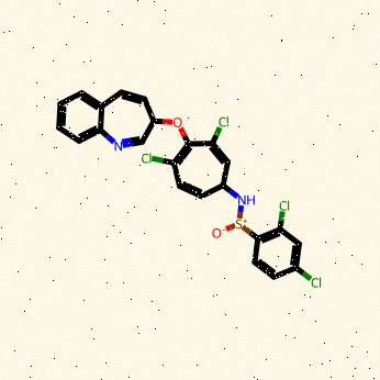 [O-][S+](NC1C=CC(Cl)=C(OC2C=Cc3ccccc3N=C2)C(Cl)=C1)c1ccc(Cl)cc1Cl